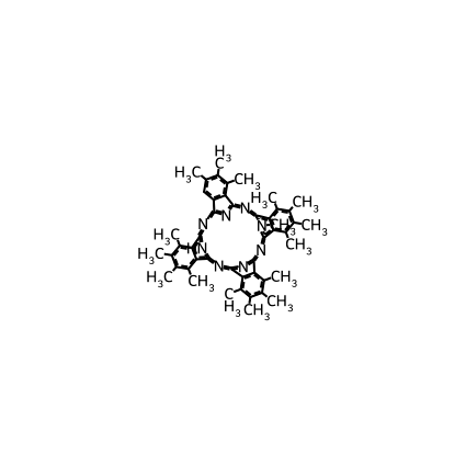 Cc1cc2c(c(C)c1C)-c1nc-2nc2[nH]c(nc3nc(nc4c5c(C)c(C)c(C)c(C)c5c(n1)n4C)-c1c(C)c(C)c(C)c(C)c1-3)c1c(C)c(C)c(C)c(C)c21